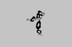 CN1CCC(c2ccc(Nc3nc(N4CC[C@H](F)C4)cc4c3C(C=O)NC=C4)cc2)CC1